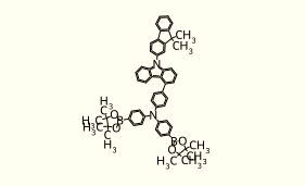 CC1(C)c2ccccc2-c2ccc(-n3c4ccccc4c4c(-c5ccc(N(c6ccc(B7OC(C)(C)C(C)(C)O7)cc6)c6ccc(B7OC(C)(C)C(C)(C)O7)cc6)cc5)cccc43)cc21